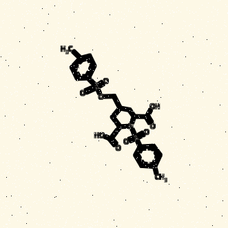 Cc1ccc(S(=O)(=O)OCC2CC(C(=O)O)N(S(=O)(=O)c3ccc(C)cc3)C(C(=O)O)C2)cc1